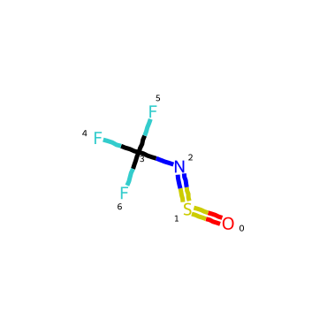 O=S=NC(F)(F)F